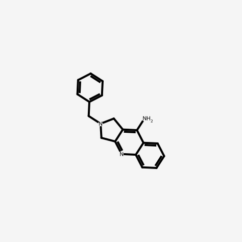 Nc1c2c(nc3ccccc13)CN(Cc1ccccc1)C2